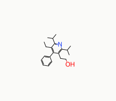 CCc1c(C(C)C)nc(C(C)C)c(CCO)c1-c1ccccc1